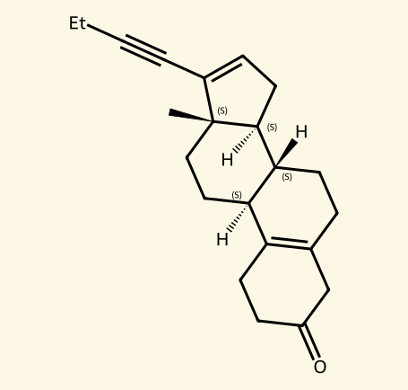 CCC#CC1=CC[C@H]2[C@@H]3CCC4=C(CCC(=O)C4)[C@H]3CC[C@]12C